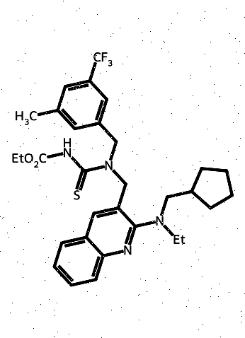 CCOC(=O)NC(=S)N(Cc1cc(C)cc(C(F)(F)F)c1)Cc1cc2ccccc2nc1N(CC)CC1CCCC1